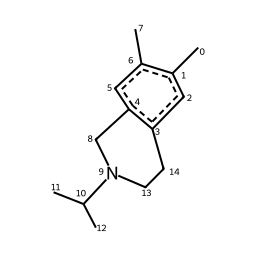 Cc1cc2c(cc1C)CN(C(C)C)CC2